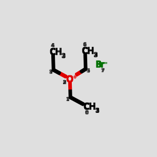 CC[O+](CC)CC.[Br-]